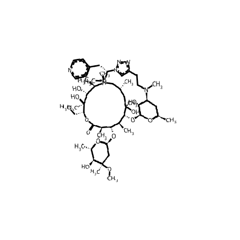 CC[C@H]1OC(=O)[C@H](C)[C@@H](O[C@H]2C[C@@](C)(OC)[C@@H](O)[C@H](C)O2)[C@H](C)[C@@H](O[C@@H]2O[C@H](C)C[C@H](N(C)CCc3cn([C@@H](Cc4ccncc4)OC)nn3)[C@H]2O)[C@](C)(O)C[C@@H](C)CN(C)[C@H](C)[C@@H](O)[C@]1(C)O